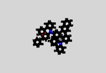 c1ccc(-c2ccc(N(c3ccc(-c4ccccc4-n4c5ccccc5c5ccccc54)c(-c4ccc5ccccc5c4)c3)c3ccccc3-c3ccccc3)cc2)cc1